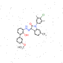 Cc1cc(N2C(=O)C(=NNc3cccc(-c4cccc(OC(=O)O)c4)c3O)c3ccc(C(F)(F)F)cc32)cc(C)c1Cl